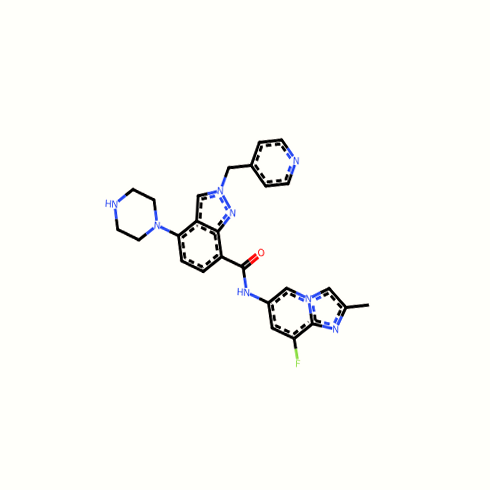 Cc1cn2cc(NC(=O)c3ccc(N4CCNCC4)c4cn(Cc5ccncc5)nc34)cc(F)c2n1